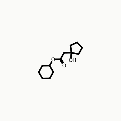 O=C(CC1(O)CCCC1)OC1CCCCC1